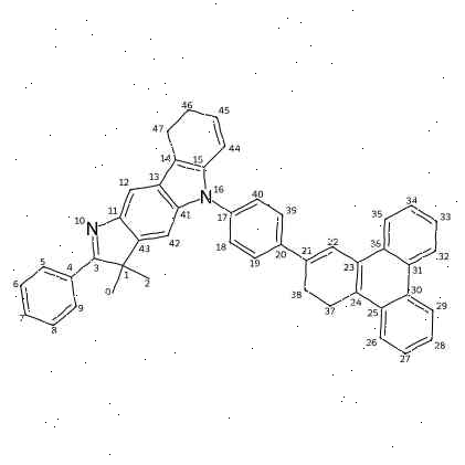 CC1(C)C(c2ccccc2)=Nc2cc3c4c(n(-c5ccc(C6=Cc7c(c8ccccc8c8ccccc78)CC6)cc5)c3cc21)C=CCC4